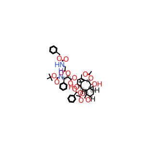 CC(=O)O[C@@H]1C2=C(C)C(OC(=O)[C@H](OC(=O)CNC(=O)OCc3ccccc3)[C@@H](NC(=O)OC(C)(C)C)c3ccccc3)C[C@@](O)([C@@H](OC(=O)c3ccccc3)[C@@H]3[C@]4(OC(C)=O)CO[C@@H]4C[C@@H]4C[C@@]43C1O)C2(C)C